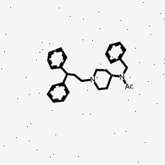 CC(=O)N(Cc1ccccc1)C1CCN(CCC(c2ccccc2)c2ccccc2)CC1